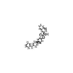 O=C(Nc1cnc2ccccc2c1)Oc1ccc(N2CCC(Cc3ccccc3)CC2)nc1